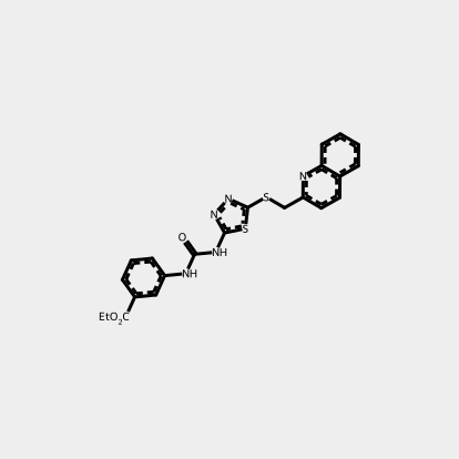 CCOC(=O)c1cccc(NC(=O)Nc2nnc(SCc3ccc4ccccc4n3)s2)c1